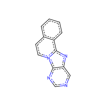 c1ccc2c(c1)ccn1c3ncncc3nc21